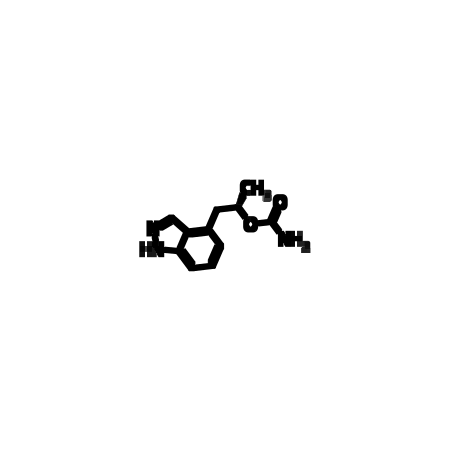 C[C@H](Cc1cccc2[nH]ncc12)OC(N)=O